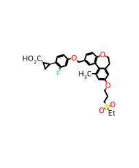 CCS(=O)(=O)CCCOc1cc(C)c2c(c1)CCOc1ccc(COc3ccc([C@H]4C[C@@H]4C(=O)O)c(F)c3)cc1-2